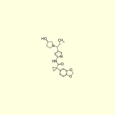 CCC(c1cnc(NC(=O)C2(c3ccc4c(c3)OCO4)CC2)s1)N1CC[C@@H](O)C1